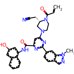 C=CC(=O)N1CCN(c2cc(C(=O)Nc3cc(O)cc4ccccc34)nc(-c3ccc4cnn(C)c4c3)n2)C[C@@H]1CC#N